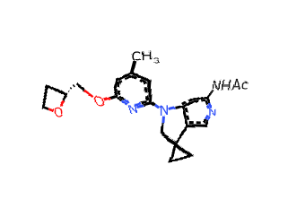 CC(=O)Nc1cc2c(cn1)C1(CC1)CN2c1cc(C)cc(OC[C@H]2CCO2)n1